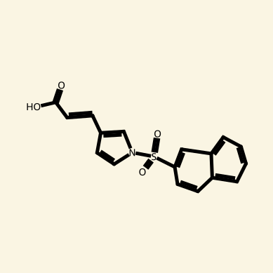 O=C(O)/C=C/c1ccn(S(=O)(=O)c2ccc3ccccc3c2)c1